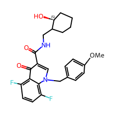 COc1ccc(Cn2cc(C(=O)NCC3CCCC[C@@H]3O)c(=O)c3c(F)ccc(F)c32)cc1